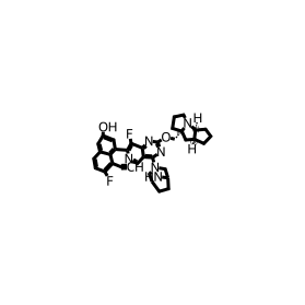 C#Cc1c(F)ccc2cc(O)cc(-c3ncc4c(N5CC6CCC(C5)N6)nc(OC[C@]56CCCN5[C@H]5CCC[C@H]5C6)nc4c3F)c12